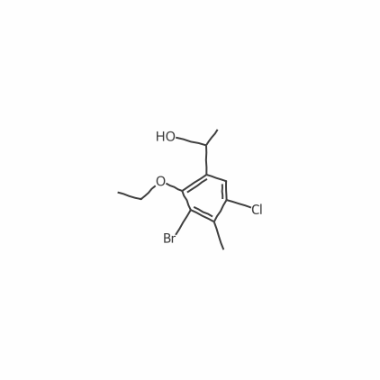 CCOc1c(C(C)O)cc(Cl)c(C)c1Br